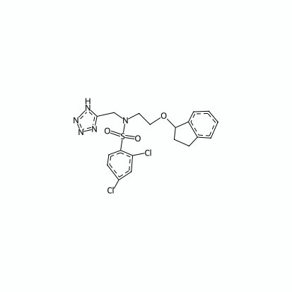 O=S(=O)(c1ccc(Cl)cc1Cl)N(CCOC1CCc2ccccc21)Cc1nnn[nH]1